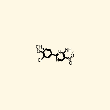 COc1ccc(-c2ncc([N+](=O)[O-])c(N)n2)cc1Cl